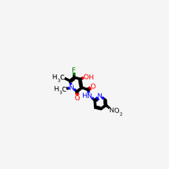 Cc1c(F)c(O)c(C(=O)Nc2ccc([N+](=O)[O-])cn2)c(=O)n1C